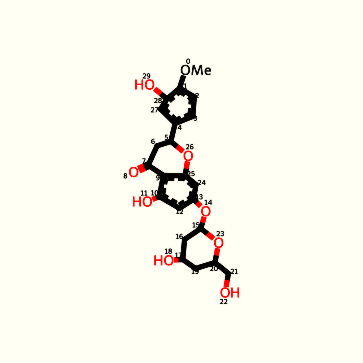 COc1ccc(C2CC(=O)c3c(O)cc(OC4CC(O)CC(CO)O4)cc3O2)cc1O